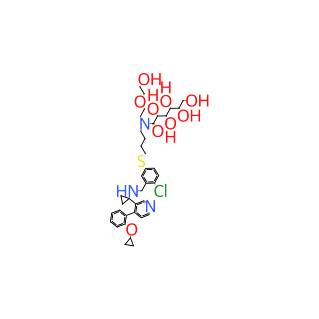 O=C([C@@H](O)[C@@H](O)[C@H](O)[C@@H](O)CO)N(CCCCSc1ccc(Cl)c(CNC2(c3cnccc3-c3ccccc3OC3CC3)CC2)c1)CCOCCO